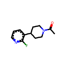 CC(=O)N1CCC(c2cccnc2F)CC1